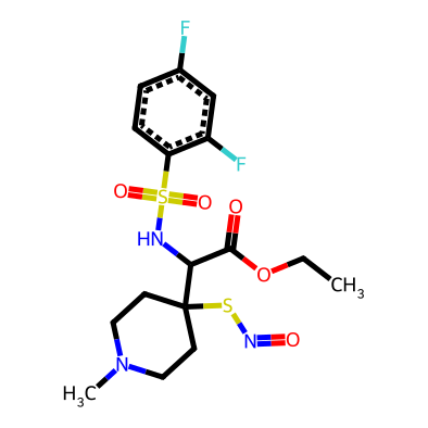 CCOC(=O)C(NS(=O)(=O)c1ccc(F)cc1F)C1(SN=O)CCN(C)CC1